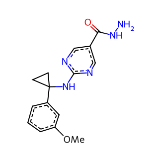 COc1cccc(C2(Nc3ncc(C(=O)NN)cn3)CC2)c1